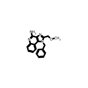 COCc1nc2c(N)nc3ccccc3c2n1Cc1ccccc1